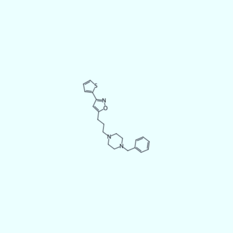 c1ccc(CN2CCN(CCCc3cc(-c4cccs4)no3)CC2)cc1